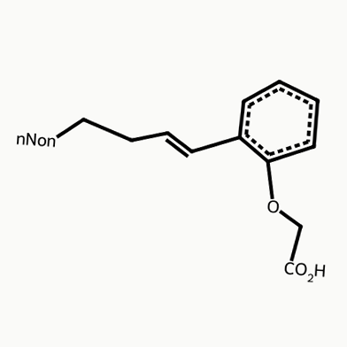 CCCCCCCCCCCC=Cc1ccccc1OCC(=O)O